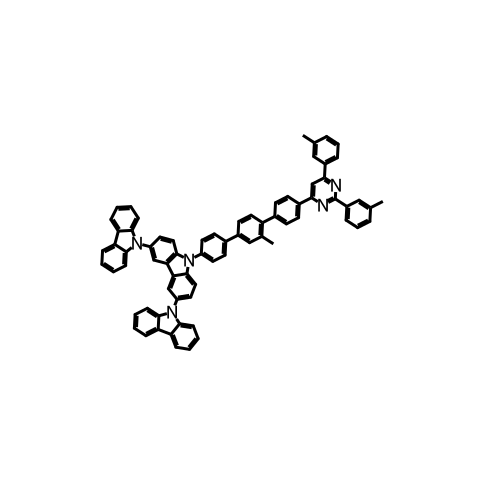 Cc1cccc(-c2cc(-c3ccc(-c4ccc(-c5ccc(-n6c7ccc(-n8c9ccccc9c9ccccc98)cc7c7cc(-n8c9ccccc9c9ccccc98)ccc76)cc5)cc4C)cc3)nc(-c3cccc(C)c3)n2)c1